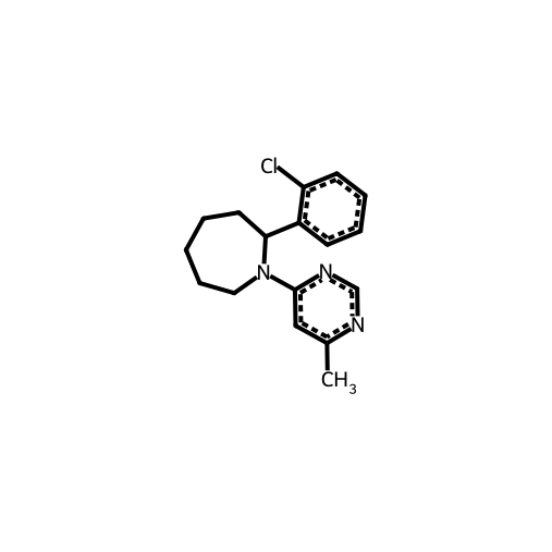 Cc1cc(N2CCCCCC2c2ccccc2Cl)ncn1